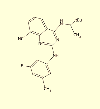 Cc1cc(F)cc(Nc2nc(NC(C)C(C)(C)C)c3cccc(C#N)c3n2)c1